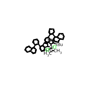 C[SiH](C)[Zr]([Cl])([Cl])([CH]1C(C(C)(C)C)=Cc2c(-c3ccccc3-c3cccc4ccccc34)cccc21)[CH]1C(C(C)(C)C)=Cc2c(-c3ccccc3-c3cccc4ccccc34)cccc21